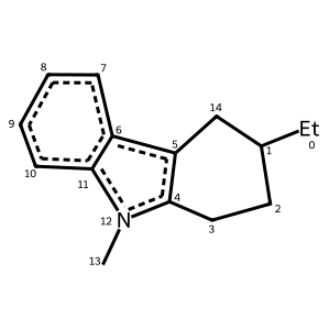 CCC1CCc2c(c3ccccc3n2C)C1